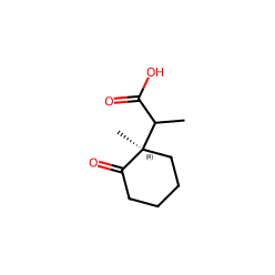 CC(C(=O)O)[C@@]1(C)CCCCC1=O